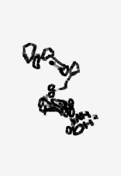 N[C@@H](COP(=O)(O)O[C@@H]1C=CCO[C@@H]1COC(=O)CCc1ccccc1OCc1cccc(Oc2ccccc2)c1)C(=O)O